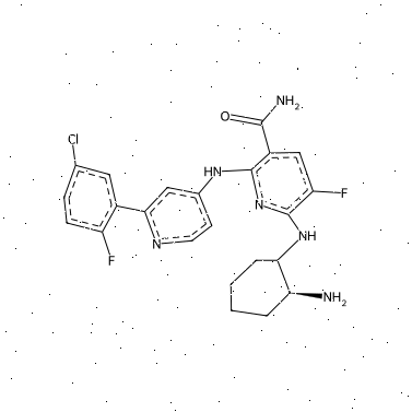 NC(=O)c1cc(F)c(NC2CCCC[C@@H]2N)nc1Nc1ccnc(-c2cc(Cl)ccc2F)c1